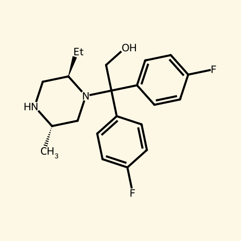 CC[C@@H]1CN[C@@H](C)CN1C(CO)(c1ccc(F)cc1)c1ccc(F)cc1